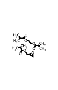 C=C(C)C(=O)OCC1CO1.C=C(C)C(=O)OCCOC(=O)C(=C)C